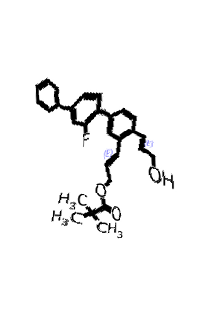 CC(C)(C)C(=O)OC/C=C/c1cc(-c2ccc(-c3ccccc3)cc2F)ccc1/C=C/CO